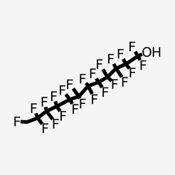 OC(F)(F)C(F)(F)C(F)(F)C(F)(F)C(F)(F)C(F)(F)C(F)(F)C(F)(F)C(F)(F)C(F)(F)C(F)(F)CF